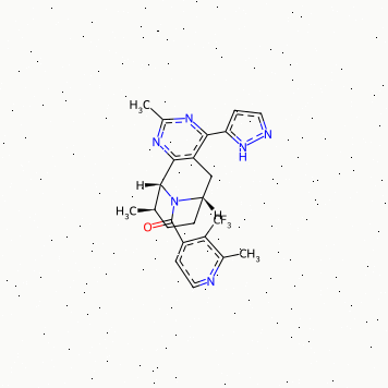 Cc1nc(-c2ccn[nH]2)c2c(n1)[C@H]1[C@H](C)CC[C@@H](C2)N1C(=O)c1ccnc(C)c1C(F)(F)F